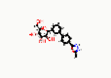 Cc1nnc(-c2ccc(-c3cccc(C4O[C@H](CO)[C@@H](O)[C@H](O)[C@@H]4O)c3)cc2)o1